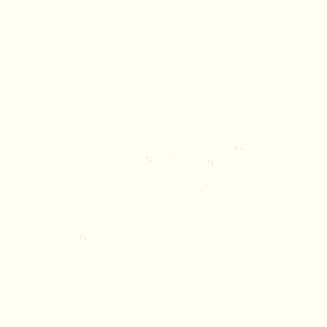 CCC(C)N1C[C@@H](N(Cc2cc(F)ccc2Cl)c2ccc(C#N)c(Cl)c2)CC1=O